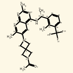 CC(=O)N1CC2(C1)CN(c1cc3c(N[C@H](C)c4cccc(C(F)(F)F)c4C)nc(C)nc3nc1C)C2